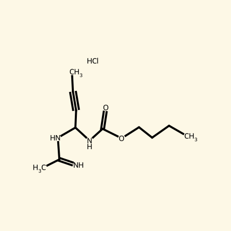 CC#CC(NC(C)=N)NC(=O)OCCCC.Cl